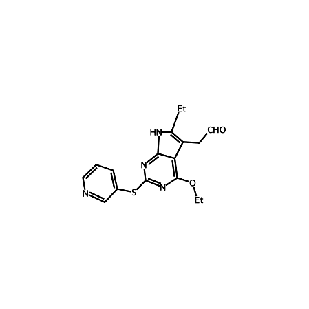 CCOc1nc(Sc2cccnc2)nc2[nH]c(CC)c(CC=O)c12